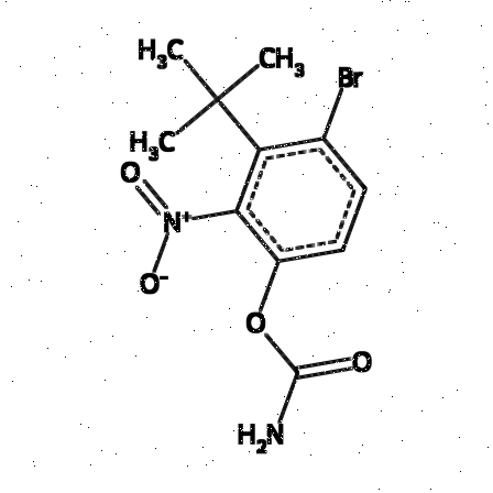 CC(C)(C)c1c(Br)ccc(OC(N)=O)c1[N+](=O)[O-]